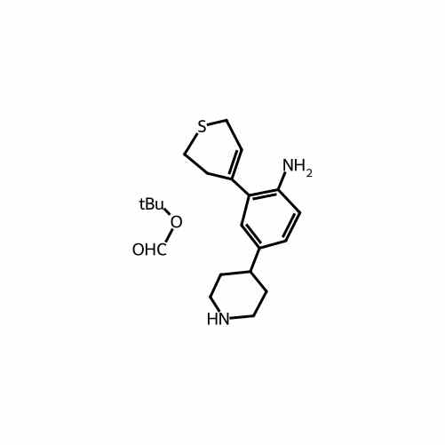 CC(C)(C)OC=O.Nc1ccc(C2CCNCC2)cc1C1=CCSCC1